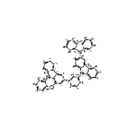 c1cc(-c2cc3c4c(c2)c2ccccc2n4-c2ccccc2O3)cc(-n2c3ccccc3c3cc(-n4c5ccccc5c5ccccc54)ccc32)c1